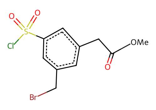 COC(=O)Cc1cc(CBr)cc(S(=O)(=O)Cl)c1